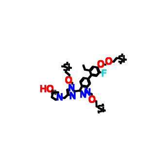 CCc1cc(OCOCC[Si](C)(C)C)c(F)cc1-c1ccc2c(-c3nc(CN4CC[C@H](O)C4)cn3COCC[Si](C)(C)C)nn(COCC[Si](C)(C)C)c2c1